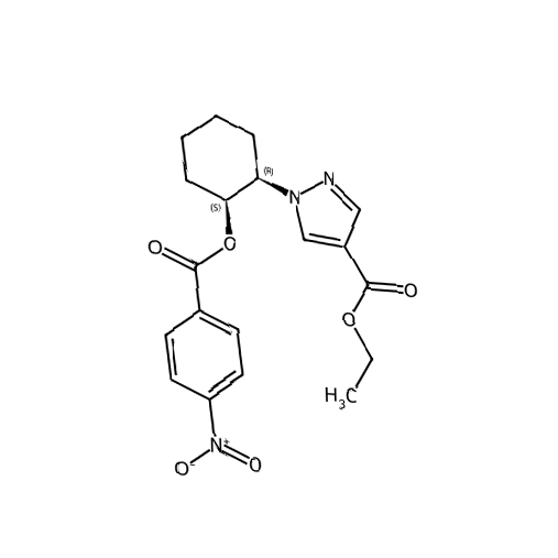 CCOC(=O)c1cnn([C@@H]2CCCC[C@@H]2OC(=O)c2ccc([N+](=O)[O-])cc2)c1